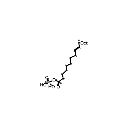 CCCCCCCCC=CCCCCCCCC(=O)OP(=O)(O)O